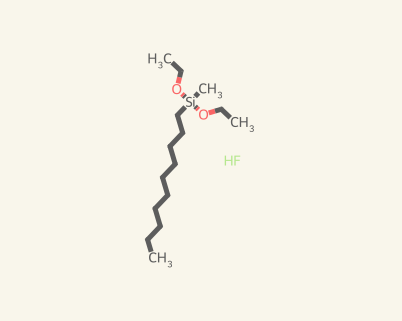 CCCCCCCCCC[Si](C)(OCC)OCC.F